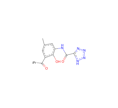 Cc1cc(NC(=O)c2nnn[nH]2)c(O)c(C(=O)C(C)C)c1